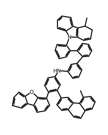 Cc1cccc2ccc3ccc(-c4cc(Nc5cccc(-c6ccccc6-c6ccccc6-n6c7c(c8ccccc86)C(C)CC=C7)c5)ccc4-c4cccc5c4oc4ccccc45)cc3c12